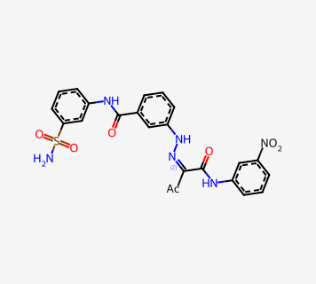 CC(=O)/C(=N/Nc1cccc(C(=O)Nc2cccc(S(N)(=O)=O)c2)c1)C(=O)Nc1cccc([N+](=O)[O-])c1